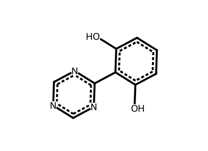 Oc1cccc(O)c1-c1ncncn1